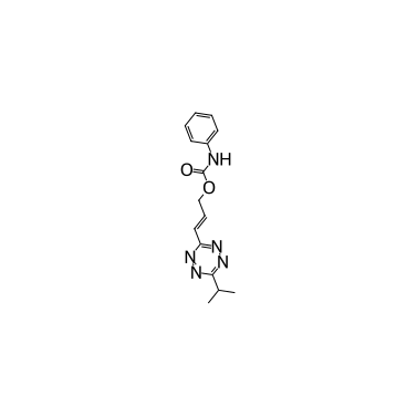 CC(C)c1nnc(/C=C/COC(=O)Nc2ccccc2)nn1